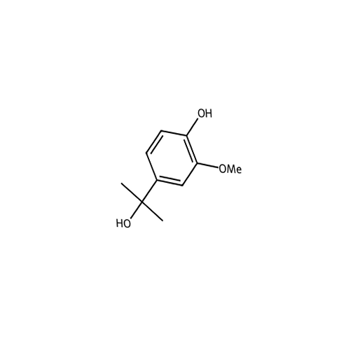 COc1cc(C(C)(C)O)ccc1O